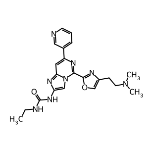 CCNC(=O)Nc1cn2c(-c3nc(CCN(C)C)co3)nc(-c3cccnc3)cc2n1